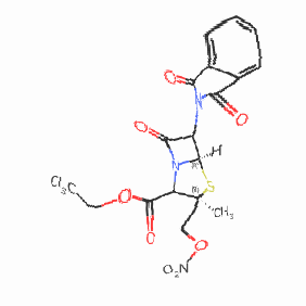 C[C@@]1(CO[N+](=O)[O-])S[C@@H]2C(N3C(=O)c4ccccc4C3=O)C(=O)N2C1C(=O)OCC(Cl)(Cl)Cl